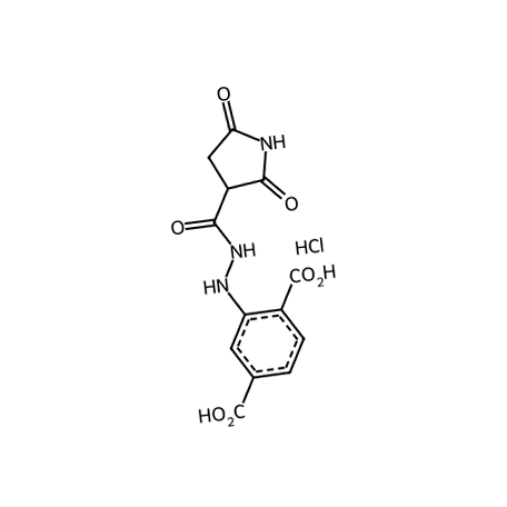 Cl.O=C1CC(C(=O)NNc2cc(C(=O)O)ccc2C(=O)O)C(=O)N1